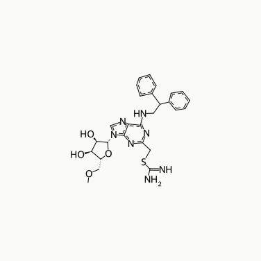 COC[C@H]1O[C@@H](n2cnc3c(NCC(c4ccccc4)c4ccccc4)nc(CSC(=N)N)nc32)[C@H](O)[C@@H]1O